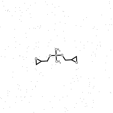 C[Si](C)(OCC1CO1)OCC1CO1